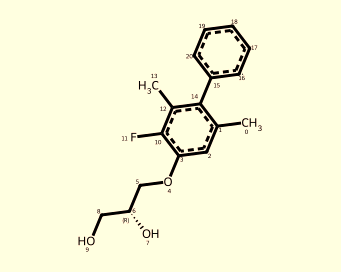 Cc1cc(OC[C@H](O)CO)c(F)c(C)c1-c1[c]cccc1